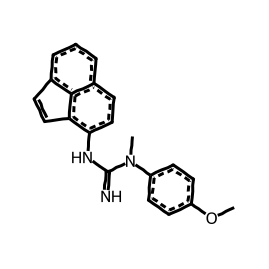 COc1ccc(N(C)C(=N)Nc2ccc3cccc4c3c2C=C4)cc1